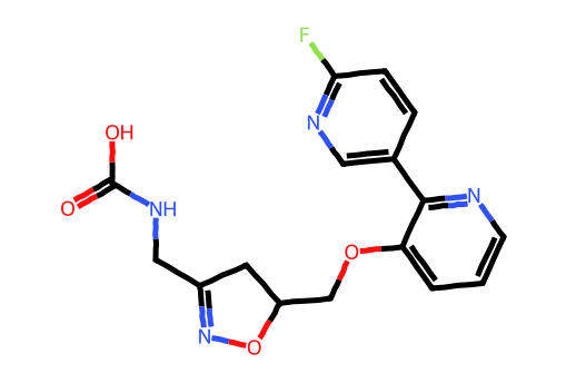 O=C(O)NCC1=NOC(COc2cccnc2-c2ccc(F)nc2)C1